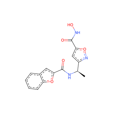 C[C@@H](NC(=O)c1cc2ccccc2o1)c1cc(C(=O)NO)on1